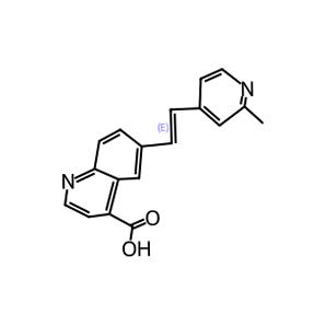 Cc1cc(/C=C/c2ccc3nccc(C(=O)O)c3c2)ccn1